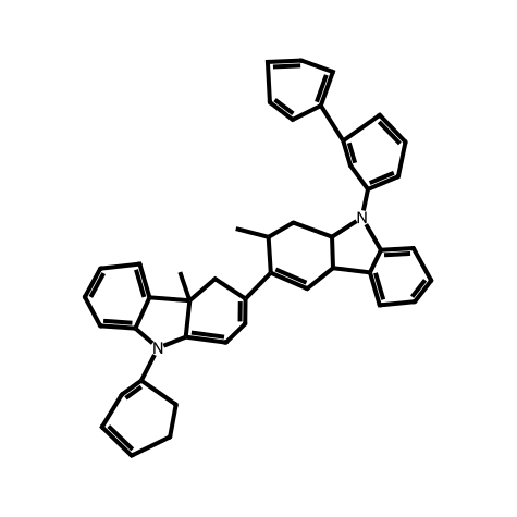 CC1CC2C(C=C1C1=CC=C3N(C4=CC=CCC4)c4ccccc4C3(C)C1)c1ccccc1N2c1cccc(-c2ccccc2)c1